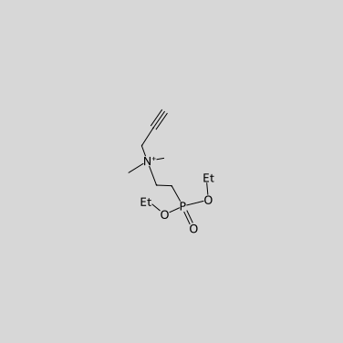 C#CC[N+](C)(C)CCP(=O)(OCC)OCC